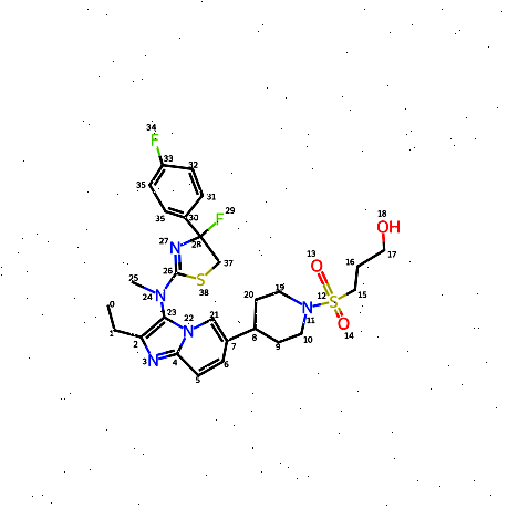 CCc1nc2ccc(C3CCN(S(=O)(=O)CCCO)CC3)cn2c1N(C)C1=NC(F)(c2ccc(F)cc2)CS1